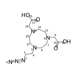 [N-]=[N+]=NCCN1CCN(CC(=O)O)CCN(CC(=O)O)CC1